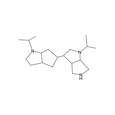 CC(C)N1CCC2CC(C3CN(C(C)C)C4CNCC34)CC21